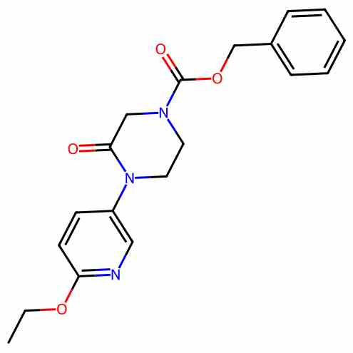 CCOc1ccc(N2CCN(C(=O)OCc3ccccc3)CC2=O)cn1